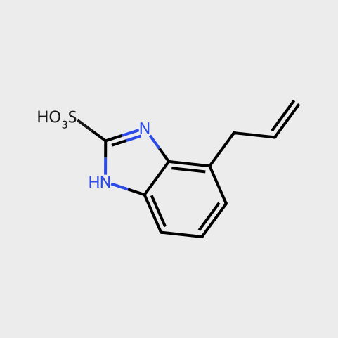 C=CCc1cccc2[nH]c(S(=O)(=O)O)nc12